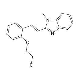 Cn1c(/C=C/c2ccccc2OCCCl)nc2ccccc21